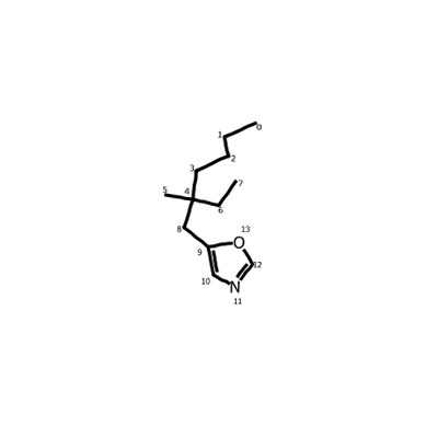 CCCCC(C)(CC)Cc1cnco1